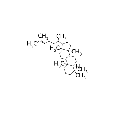 CC(C)=CCC[C@@H](C)[C@H]1CC[C@@]2(C)C3=C(CC[C@]12C)[C@@]1(C)CCCC(C)(C)[C@H]1CC3